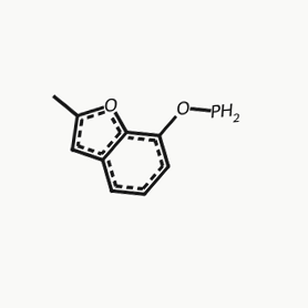 Cc1cc2cccc(OP)c2o1